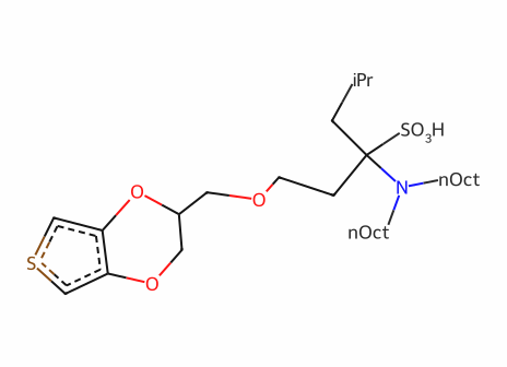 CCCCCCCCN(CCCCCCCC)C(CCOCC1COc2cscc2O1)(CC(C)C)S(=O)(=O)O